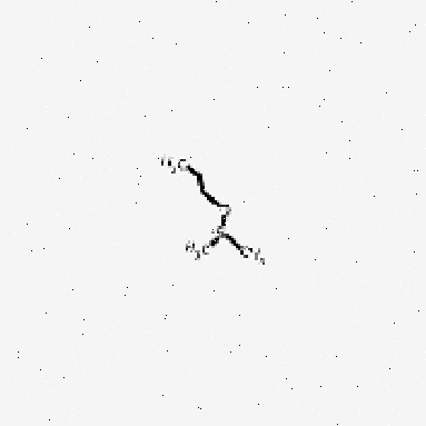 CCCO[Si](C)C